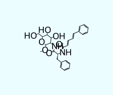 COC1OC(CO)C(O)C(O)C1NC(=O)[C@H](Cc1ccccc1)NC(=O)/C=C/C=C/c1ccccc1